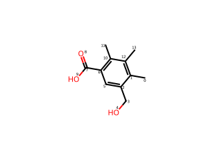 Cc1c(CO)cc(C(=O)O)c(C)c1C